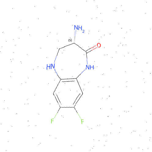 N[C@H]1CNc2cc(F)c(F)cc2NC1=O